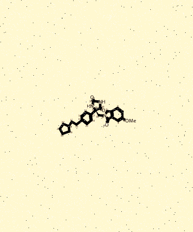 COc1ccc2c(c1)C(=O)N(C[C@@]1(c3ccc(CCC4CCCC4)cc3)NC(=O)NC1=O)C2